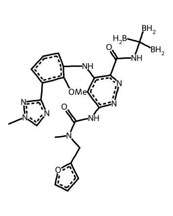 BC(B)(B)NC(=O)c1nnc(NC(=O)N(C)Cc2ccco2)cc1Nc1cccc(-c2ncn(C)n2)c1OC